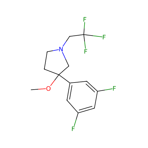 COC1(c2cc(F)cc(F)c2)CCN(CC(F)(F)F)C1